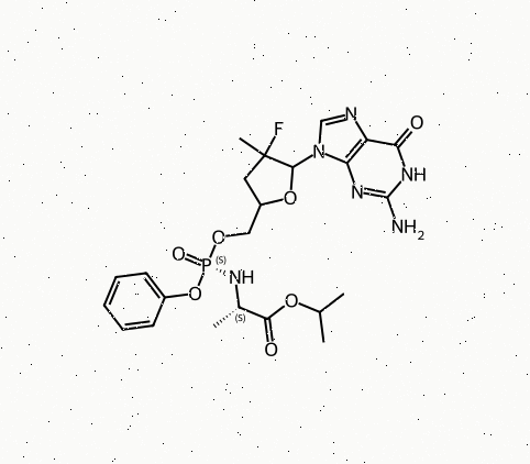 CC(C)OC(=O)[C@H](C)N[P@](=O)(OCC1CC(C)(F)C(n2cnc3c(=O)[nH]c(N)nc32)O1)Oc1ccccc1